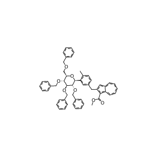 COC(=O)c1c(Cc2ccc(C)c([C@@H]3O[C@H](COCc4ccccc4)[C@@H](OCc4ccccc4)[C@H](OCc4ccccc4)[C@H]3OCc3ccccc3)c2)cc2cccccc1-2